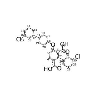 O=C(O)c1ccc(Oc2ccc(-c3cccc(Cl)c3)cc2)c(C(=O)O)c1-c1cccc(Cl)c1